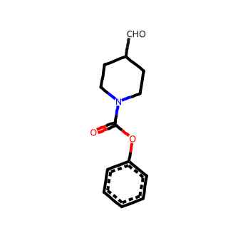 O=CC1CCN(C(=O)Oc2ccccc2)CC1